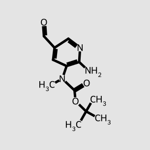 CN(C(=O)OC(C)(C)C)c1cc(C=O)cnc1N